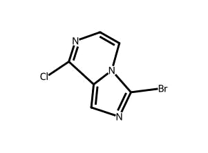 Clc1nccn2c(Br)ncc12